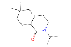 CC(C)N1CCC2CC(C)(C)CCC2C1=O